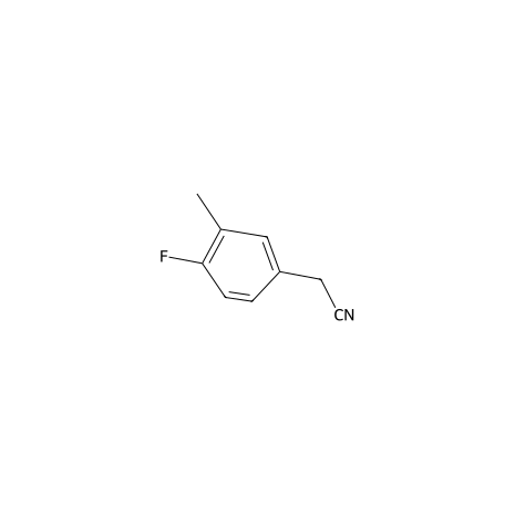 Cc1cc(CC#N)ccc1F